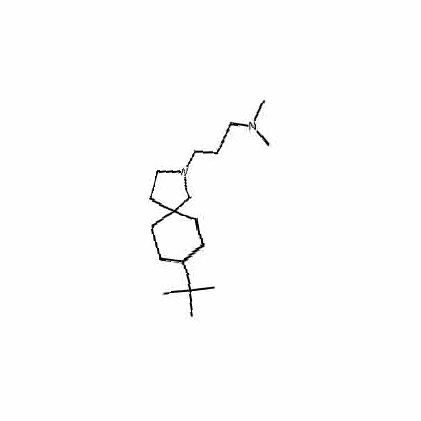 CN(C)CCCN1CCC2(CCC(C(C)(C)C)CC2)C1